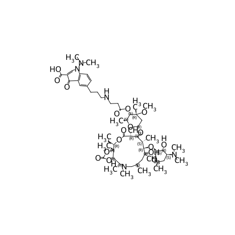 CC[C@H]1OC(=O)[C@H](C)[C@@H](O[C@H]2C[C@@](C)(OC)[C@@H](OC(=O)CCNCCCc3ccc4c(c3)c(=O)c(C(=O)O)cn4N(C)C)[C@H](C)O2)[C@H](C)[C@@H](O[C@@H]2O[C@H](C)C[C@H](N(C)C)[C@H]2O)[C@](C)(O)C[C@@H](C)CN(C)[C@H](C)[C@H]2OC(=O)O[C@@]21C